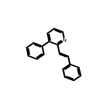 C(=Cc1ncccc1-c1ccccc1)c1ccccc1